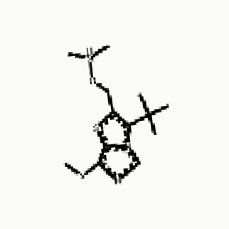 CSc1ncn2c(C(C)(C)C)c(CO[SiH](C)C)sc12